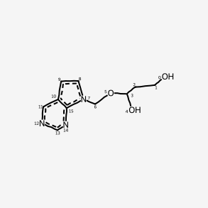 OCCC(O)OCn1ccc2cncnc21